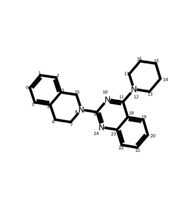 c1ccc2c(c1)CCN(c1nc(N3CCCCC3)c3ccccc3n1)C2